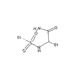 CCC(NS(=O)(=O)CC)C(N)=O